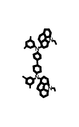 CCn1c2cccc3ccc4c(N(c5ccc(-c6ccc(N(c7cc(C)cc(C)c7)c7ccc8c9c7ccc7cccc(c79)n8CC)cc6)cc5)c5cc(C)cc(C)c5)ccc1c4c32